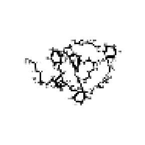 CC(C)CCCC(C)CCOc1c2cccc1Cc1cccc3c1OCCOCCOc1ccccc1OCCOCCOc1c(cccc1Cc1cccc(c1OCC[C@H](C)CCCC(C)C)C3)C2